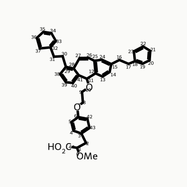 COC(Cc1ccc(OCCOC2c3ccc(CCc4ccccc4)cc3C=Cc3c(CCc4ccccc4)cccc32)cc1)C(=O)O